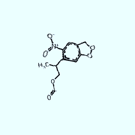 CC(CO[C]=O)c1cc2c(cc1[N+](=O)[O-])COO2